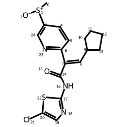 C[S+]([O-])c1ccc(/C(=C\C2CCCC2)C(=O)Nc2ncc(Cl)s2)nc1